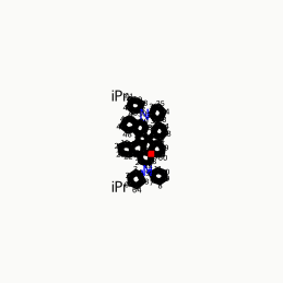 CC(C)c1ccc(N(c2ccccc2)c2ccc3c4c(c5ccccc5c3c2)-c2c(cc(N(c3ccccc3)c3ccc(C(C)C)cc3)c3ccccc23)C4(c2ccccc2)c2ccccc2)cc1